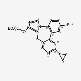 CCOC(=O)Oc1ncn2c1Cc1cnc(C3CC3)nc1-c1cc(F)ccc1-2